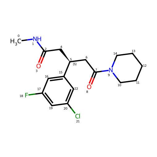 CNC(=O)C[C@@H](CC(=O)N1CCCCC1)c1cc(F)cc(Cl)c1